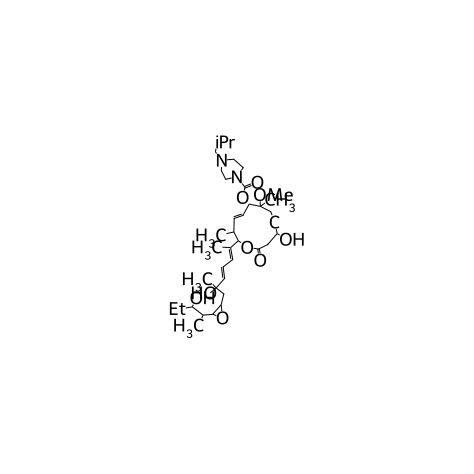 CCC(O)C(C)C1OC1CC(C)(O)/C=C/C=C(\C)C1OC(=O)CC(O)CCC(C)(OC)C(OC(=O)N2CCN(CC(C)C)CC2)/C=C/C1C